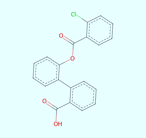 O=C(Oc1ccccc1-c1ccccc1C(=O)O)c1ccccc1Cl